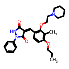 CCCOc1ccc(C=C2C(=O)NN(c3ccccc3)C2=O)c(OCCN2CCCCC2)c1C